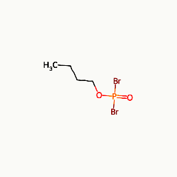 CCCCOP(=O)(Br)Br